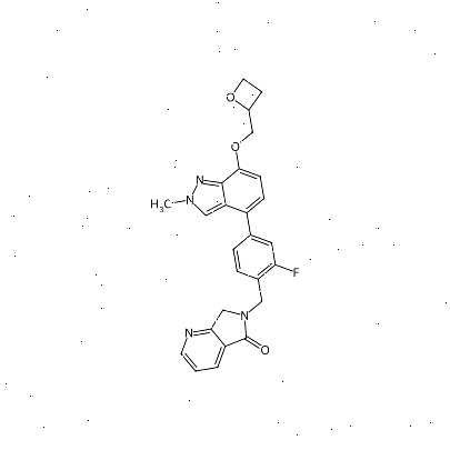 Cn1cc2c(-c3ccc(CN4Cc5ncccc5C4=O)c(F)c3)ccc(OCC3CCO3)c2n1